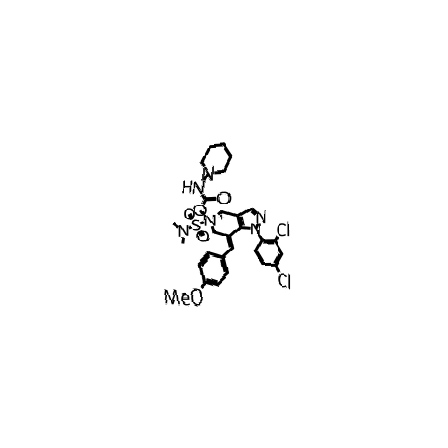 COc1ccc(/C=C2\C[N+](OC(=O)NN3CCCCC3)(S(=O)(=O)N(C)C)Cc3cnn(-c4ccc(Cl)cc4Cl)c32)cc1